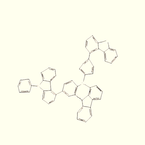 CC12c3ccccc3-c3cccc(c31)N(c1ccc(-c3cccc4sc5ccccc5c34)cc1)c1ccc(-c3cccc4c3c3ccccc3n4-c3ccccc3)cc12